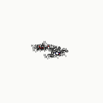 CCN(C(C)=O)C1COC(OC2C(O[C@H]3/C=C\C#CC4(O)CC(=O)C(NC(=O)OC)=C3/C4=C\CSSC(C)(C)CC=O)OC(C)C(NOC3CC(O)C(SC(=O)c4c(C)c(I)c(OC5OC(C)C(O)C(OC)C5O)c(OC)c4OC)C(C)O3)C2O)CC1OC